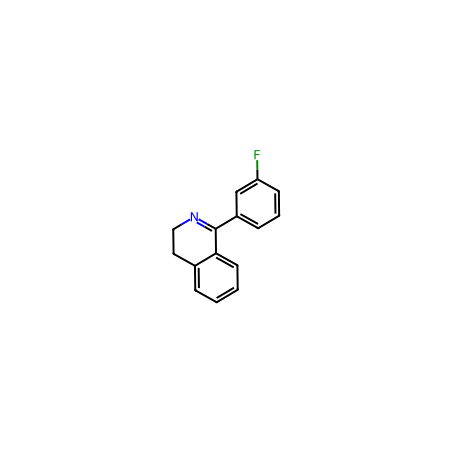 Fc1cccc(C2=NCCc3ccccc32)c1